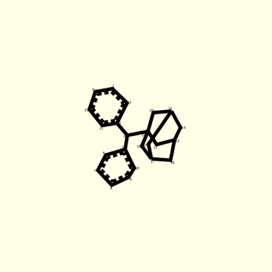 c1ccc([C](c2ccccc2)C23CC4CC(CC(C4)C2)C3)cc1